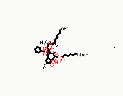 C=C(C)C12OC3(c4ccccc4)OC1C1C4OC4(COC(=O)CCCCCCCCCCCCCCC)C(O)C4(O)C(=O)C(C)=CC4C1(O3)C(C)C2OC(=O)/C=C/C=C/C=C/CCC